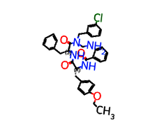 CCOc1ccc(C[C@@H](NC(=O)c2ccccc2)C(=O)N[C@@H](Cc2ccccc2)C(=O)N(CN)Cc2cccc(Cl)c2)cc1